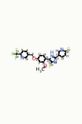 COc1cc(OCc2ccc(C(F)(F)F)nc2)ccc1-c1[nH]c(-c2ccc(F)nc2)nc1F